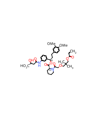 C=CC(=O)OCC(C)(C)COCC(=O)N1CCCC[C@H]1C(=O)O[C@H](CCc1ccc(OC)c(OC)c1)c1cccc(NC(=O)C[C@H](O)C(=O)O)c1